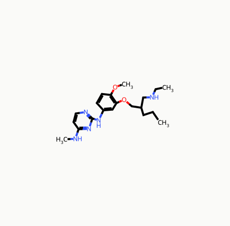 CCCC(CNCC)COc1cc(Nc2nccc(NC)n2)ccc1OC